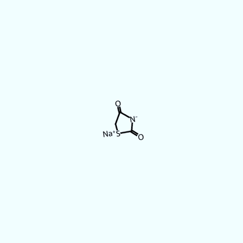 O=C1CSC(=O)[N-]1.[Na+]